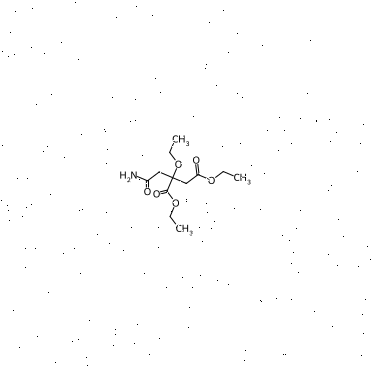 CCOC(=O)CC(CC(N)=O)(OCC)C(=O)OCC